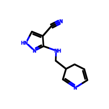 N#Cc1c[nH]nc1NCC1C=NC=CC1